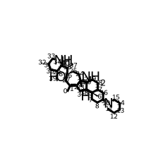 CC1=C2C[C@@H]3[C@@]4(C)CCC(N5CCCCC5)CC4CC[C@@]3(N)C2(C)CC[C@@]2(C1)O[C@@H]1C[C@H](C)CN[C@H]1[C@H]2C